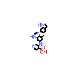 Cc1cc(Nc2cnccc2C(=O)O)cc2c1N(c1ccc3cc[nH]c3c1)C=CN2